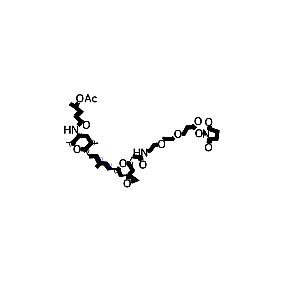 CC(=O)OC(C)C=CC(=O)N[C@@H]1C[C@H](C)[C@H](C/C=C(C)/C=C/[C@@H]2C[C@]3(CO3)C[C@@H](CC(=O)NCCOCCOCCC(=O)ON3C(=O)CCC3=O)O2)O[C@@H]1C